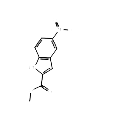 COC(=O)c1cc2cc([N+](=O)[O-])ccc2[nH]1